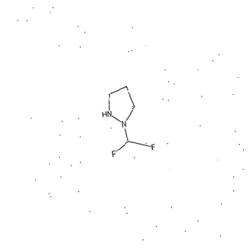 FC(F)N1CC[CH]N1